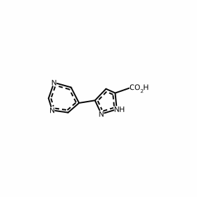 O=C(O)c1cc(-c2cncnc2)n[nH]1